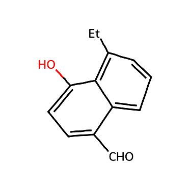 CCc1cccc2c(C=O)ccc(O)c12